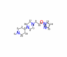 CN1CCC(N2CCN(CCOn3cccn3)CC2)CC1